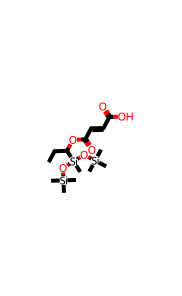 CCC(OC(=O)C=CC(=O)O)[Si](C)(O[Si](C)(C)C)O[Si](C)(C)C